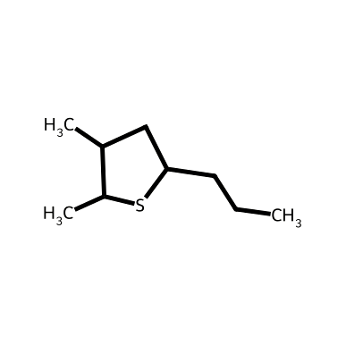 CCCC1CC(C)C(C)S1